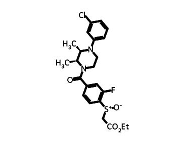 CCOC(=O)C[S+]([O-])c1ccc(C(=O)N2CCN(c3cccc(Cl)c3)[C@H](C)[C@@H]2C)cc1F